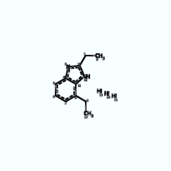 CCc1nc2cccc(CC)c2[nH]1.I.I.I